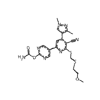 COCCSCSc1nc(-c2cnc(OC(N)=O)nc2)cc(-c2cn(C)nc2C)c1C#N